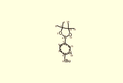 CC1(C)OB(c2ccc([13C](C)([13CH3])[13CH3])nc2)OC1(C)C